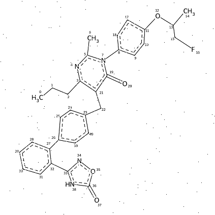 CCCc1nc(C)n(-c2ccc(OC(C)CF)cc2)c(=O)c1Cc1ccc(-c2ccccc2-c2noc(=O)[nH]2)cc1